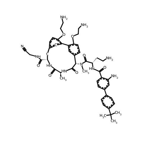 C[C@@H]1NC(=O)[C@@H](N(C)C(=O)[C@H](CCN)NC(=O)c2ccc(-c3ccc(C(C)(C)C)cc3)cc2N)c2ccc(OCCN)c(c2)-c2cc(ccc2OCCN)C[C@@H](C(=O)NCC#N)NC1=O